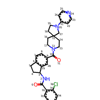 O=C(NC1CCc2ccc(C(=O)N3CCC4(CC3)CCN(c3ccncc3)C4)cc21)c1ccccc1Cl